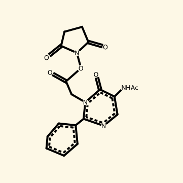 CC(=O)Nc1cnc(-c2ccccc2)n(CC(=O)ON2C(=O)CCC2=O)c1=O